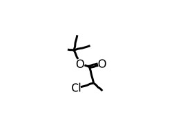 CC(Cl)C(=O)OC(C)(C)C